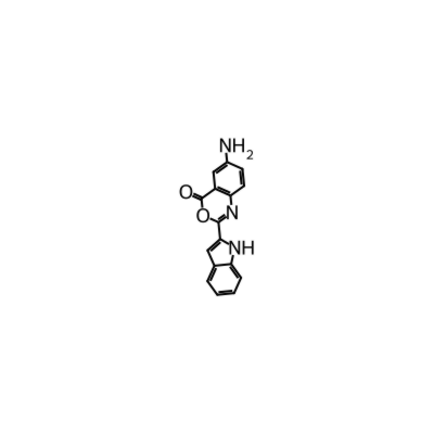 Nc1ccc2nc(-c3cc4ccccc4[nH]3)oc(=O)c2c1